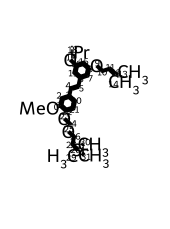 COc1cc(/C=C/c2cc(OCC=C(C)C)cc(OC(C)C)c2)ccc1OCOCC[Si](C)(C)C